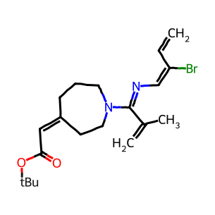 C=C/C(Br)=C\N=C(/C(=C)C)N1CCC/C(=C/C(=O)OC(C)(C)C)CC1